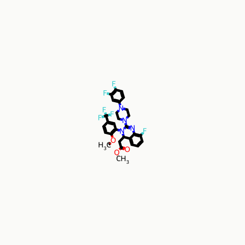 COC(=O)CC1c2cccc(F)c2N=C(N2CCN(c3ccc(F)c(F)c3)CC2)N1c1cc(C(F)(F)F)ccc1OC